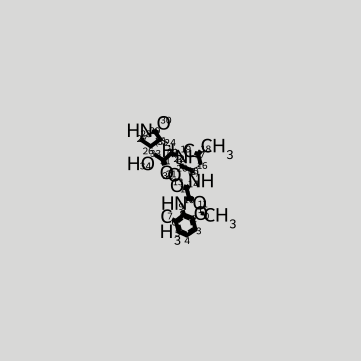 COc1cccc(C)c1NC(=O)C(=O)N[C@@H](CC(C)C)C(=O)N[C@@H](C[C@@H]1CCNC1=O)C(=O)CO